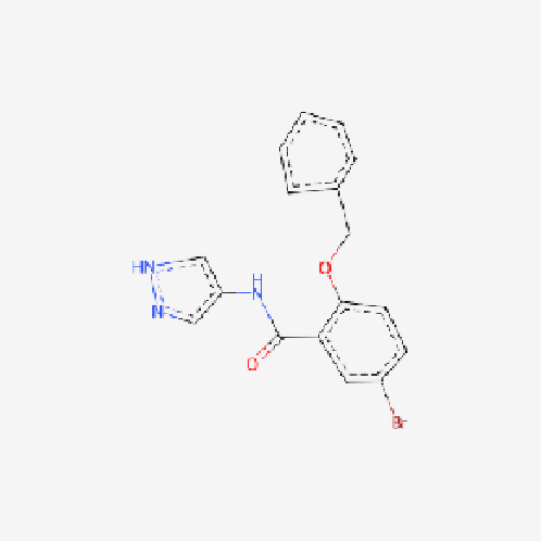 O=C(Nc1cn[nH]c1)c1cc(Br)ccc1OCc1ccccc1